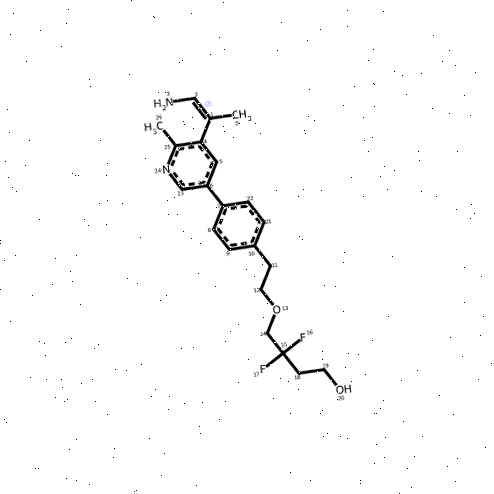 C/C(=C/N)c1cc(-c2ccc(CCOCC(F)(F)CCO)cc2)cnc1C